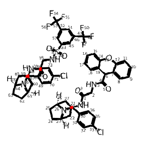 O=C(CNC(=O)C1c2ccccc2Oc2ccccc21)N[C@H]1C[C@H]2CC[C@@H](C1)N2Cc1ccc(Cl)cc1.O=C(CNS(=O)(=O)c1cc(C(F)(F)F)cc(C(F)(F)F)c1)N[C@H]1C[C@H]2CC[C@@H](C1)N2Cc1ccc(Cl)cc1